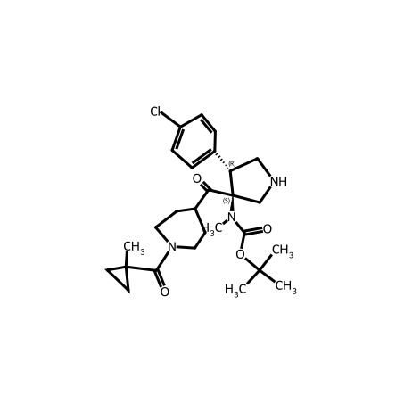 CN(C(=O)OC(C)(C)C)[C@]1(C(=O)C2CCN(C(=O)C3(C)CC3)CC2)CNC[C@H]1c1ccc(Cl)cc1